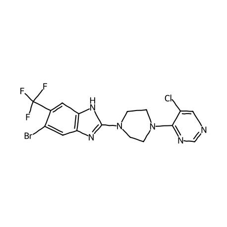 FC(F)(F)c1cc2[nH]c(N3CCN(c4ncncc4Cl)CC3)nc2cc1Br